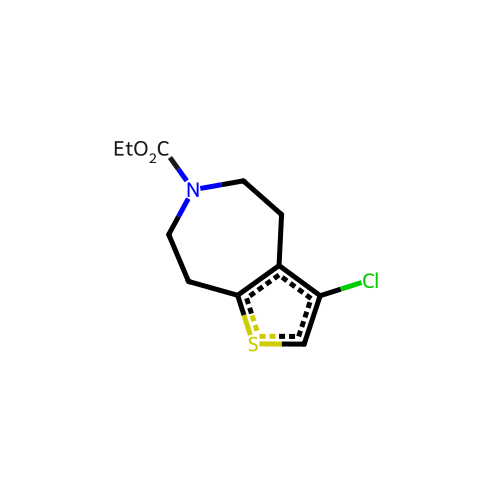 CCOC(=O)N1CCc2scc(Cl)c2CC1